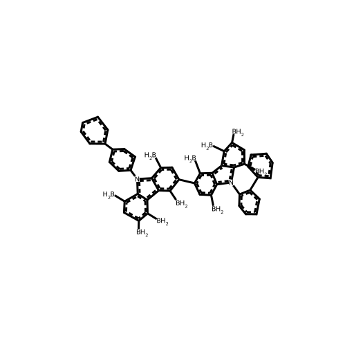 Bc1cc(B)c2c(c1B)c1c(B)c(-c3cc(B)c4c(c3B)c3c(B)c(B)cc(B)c3n4-c3ccccc3-c3ccccc3)cc(B)c1n2-c1ccc(-c2ccccc2)cc1